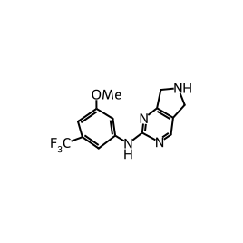 COc1cc(Nc2ncc3c(n2)CNC3)cc(C(F)(F)F)c1